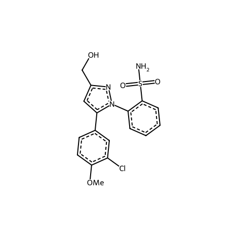 COc1ccc(-c2cc(CO)nn2-c2ccccc2S(N)(=O)=O)cc1Cl